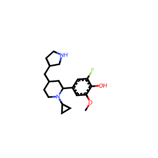 COc1cc(C2CC(CC3CCNC3)CCN2C2CC2)cc(F)c1O